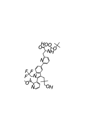 CO[C@@H](C)c1ncccc1-c1c(CC(C)(C)CO)c2cc(-c3cccc(CC(NC(=O)OC(C)(C)C)C(=O)O)n3)ccc2n1CC(F)(F)F